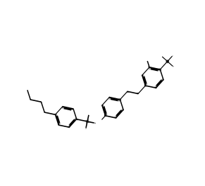 CCCCc1ccc(C(F)(F)Oc2ccc(CCc3ccc(C(F)(F)F)c(F)c3)cc2)cc1